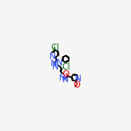 COc1cc(-c2nnc(C=Cc3nnc(-c4ccc(Cl)cn4)n3-c3ccccc3Cl)o2)ccn1